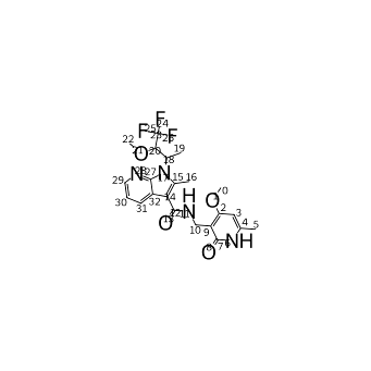 COc1cc(C)[nH]c(=O)c1CNC(=O)c1c(C)n(C(C)C(OC)C(F)(F)F)c2ncccc12